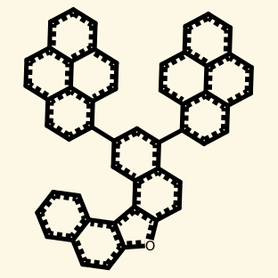 c1ccc2c(c1)ccc1oc3ccc4c(-c5ccc6ccc7cccc8ccc5c6c78)cc(-c5ccc6ccc7cccc8ccc5c6c78)cc4c3c12